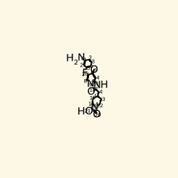 Nc1ccc(Oc2ccnc(NC(=O)CC3CCN(C(=O)O)CC3)c2)c(F)c1